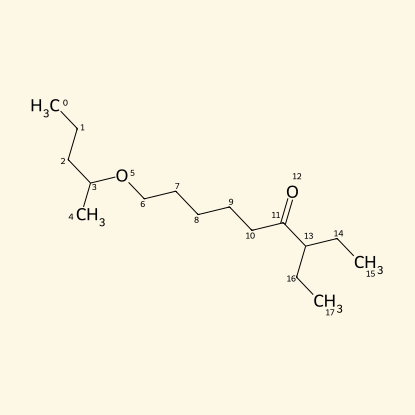 CCCC(C)OCCCCCC(=O)C(CC)CC